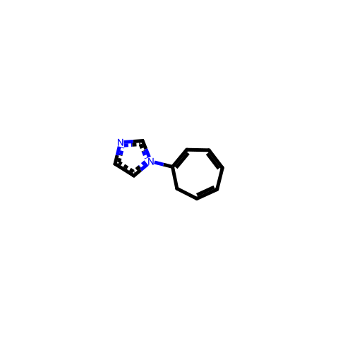 C1=CC=C(n2ccnc2)CC=C1